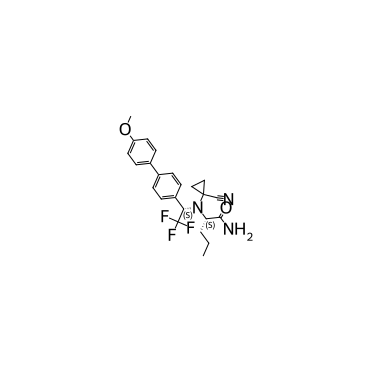 CCC[C@@H](C(N)=O)N([C@@H](c1ccc(-c2ccc(OC)cc2)cc1)C(F)(F)F)C1(C#N)CC1